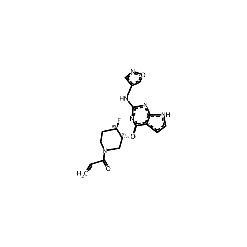 C=CC(=O)N1CC[C@@H](F)[C@H](Oc2nc(Nc3cnoc3)nc3[nH]ccc23)C1